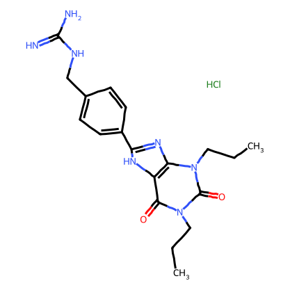 CCCn1c(=O)c2[nH]c(-c3ccc(CNC(=N)N)cc3)nc2n(CCC)c1=O.Cl